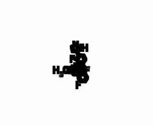 COCN(c1cccc(-c2ccn[nH]2)c1F)S(=O)(=O)c1cc(F)ccc1F